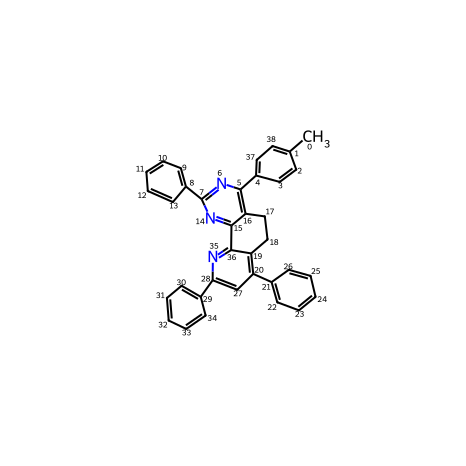 Cc1ccc(-c2nc(-c3ccccc3)nc3c2CCc2c(-c4ccccc4)cc(-c4ccccc4)nc2-3)cc1